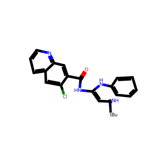 CC(C)(C)C(=N)/C=C(/NC(=O)c1cc2ncccc2cc1Cl)Nc1ccccc1